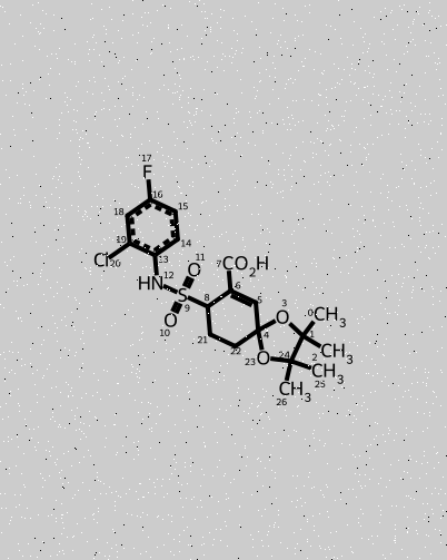 CC1(C)OC2(C=C(C(=O)O)C(S(=O)(=O)Nc3ccc(F)cc3Cl)CC2)OC1(C)C